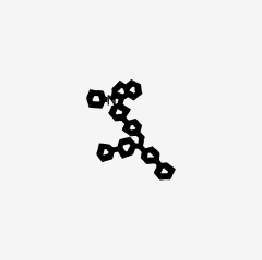 c1ccc(-c2ccc(C(Cc3ccc(-c4ccc5c(c4)c4c6ccccc6ccc4n5-c4ccccc4)cc3)c3ccc(-c4ccccc4)cc3)cc2)cc1